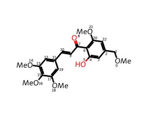 COCc1cc(O)c(C(=O)/C=C/c2cc(OC)c(OC)c(OC)c2)c(OC)c1